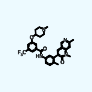 Cc1cc2c(cn1)cc(-c1cc(NC(=O)c3cc(OC4CCN(C)CC4)cc(C(F)(F)F)c3)ccc1C)c(=O)n2C